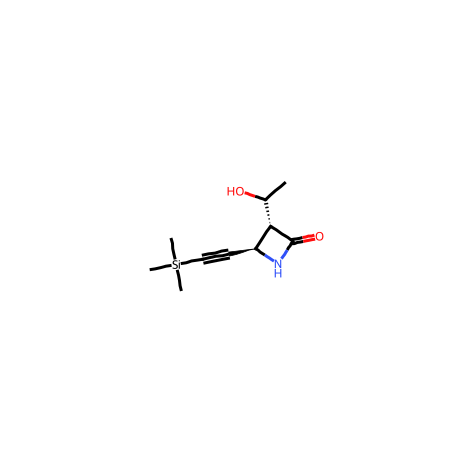 CC(O)[C@@H]1C(=O)N[C@H]1C#C[Si](C)(C)C